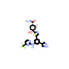 C[C@@H]1C[C@@](O)(c2ncc(-c3cc(Nc4nccc(C(F)(F)F)n4)cc(-c4cn[nH]c4)c3)s2)CC[C@@H]1C(N)=O